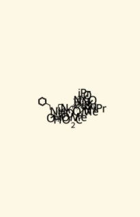 CC[C@H](C)[C@@H]([C@@H](CC(=O)N1CCC[C@H]1[C@H](OC)[C@@H](C)C(=O)NCCc1ccccc1)OC)N(C)[C@H](C(=O)NC(=O)[C@H](C(C)C)N(C)CCCC(=O)O)C(C)C